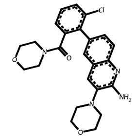 Nc1nc2ccc(-c3c(Cl)cccc3C(=O)N3CCOCC3)cc2cc1N1CCOCC1